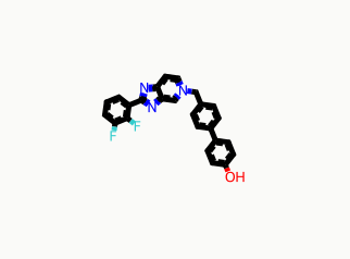 Oc1ccc(-c2ccc(Cn3ccc4nc(-c5cccc(F)c5F)nc-4c3)cc2)cc1